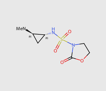 CN[C@@H]1C[C@H]1NS(=O)(=O)N1CCOC1=O